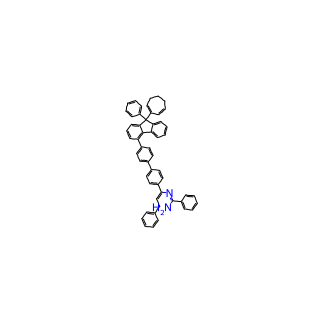 N/C(=N\C(=C/Cc1ccccc1)c1ccc(-c2ccc(-c3cccc4c3-c3ccccc3C4(C3=CCCCC=C3)c3ccccc3)cc2)cc1)c1ccccc1